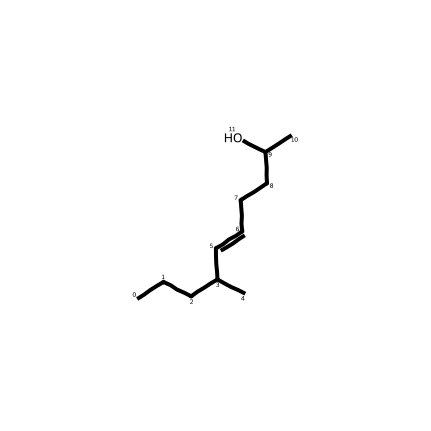 CCCC(C)C=CCCC(C)O